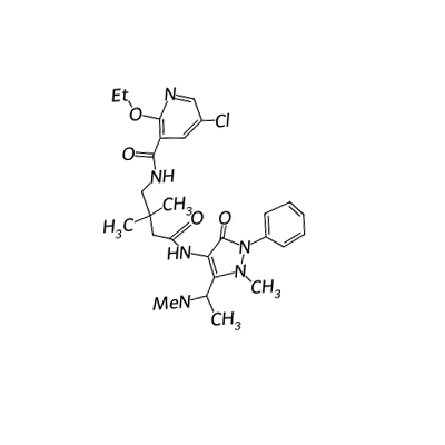 CCOc1ncc(Cl)cc1C(=O)NCC(C)(C)CC(=O)Nc1c(C(C)NC)n(C)n(-c2ccccc2)c1=O